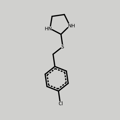 Clc1ccc(CSC2NCCN2)cc1